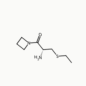 CCSC[C@H](N)C(=O)N1CCC1